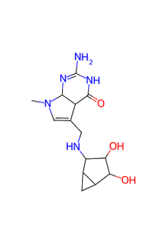 CN1C=C(CNC2C(O)C(O)C3CC32)C2C(=O)NC(N)=NC21